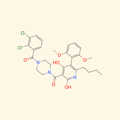 CCCCc1nc(O)c(C(=O)N2CCN(C(=O)c3cccc(Cl)c3Cl)CC2)c(O)c1-c1c(OC)cccc1OC